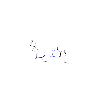 CCn1ccc2c(=O)[nH]c(-n3ncc(C(=O)N4CC5(C4)CC(F)(F)C5)c3C)nc21